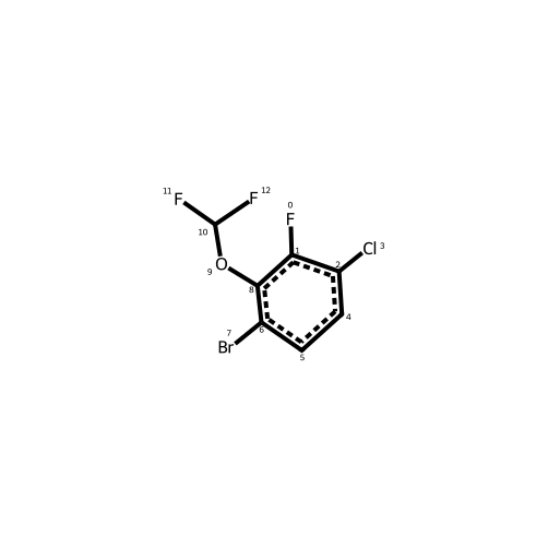 Fc1c(Cl)ccc(Br)c1OC(F)F